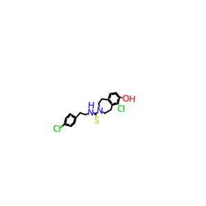 Oc1ccc2c(c1Cl)CCN(C(=S)NCCc1ccc(Cl)cc1)CC2